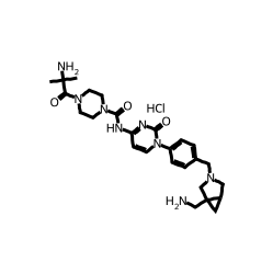 CC(C)(N)C(=O)N1CCN(C(=O)Nc2ccn(-c3ccc(CN4CC5CC5(CN)C4)cc3)c(=O)n2)CC1.Cl